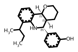 CCC(C)c1cccc2c1N[C@@H](c1cccc(O)c1)[C@@H]1CCCO[C@H]21